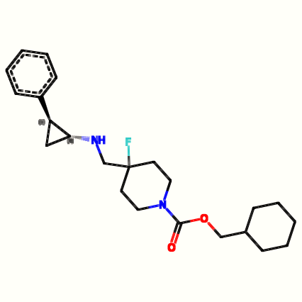 O=C(OCC1CCCCC1)N1CCC(F)(CN[C@@H]2C[C@H]2c2ccccc2)CC1